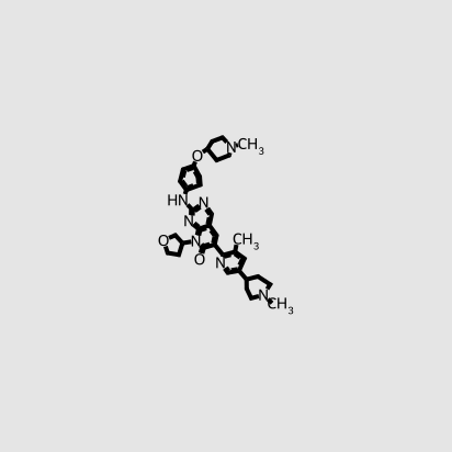 Cc1cc(C2CCN(C)CC2)cnc1-c1cc2cnc(Nc3ccc(OC4CCN(C)CC4)cc3)nc2n(C2CCOC2)c1=O